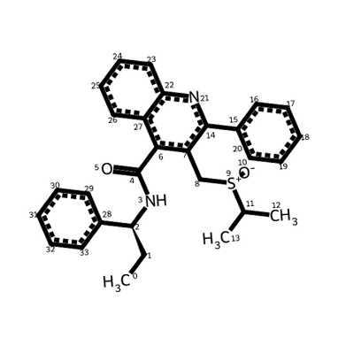 CC[C@H](NC(=O)c1c(C[S+]([O-])C(C)C)c(-c2ccccc2)nc2ccccc12)c1ccccc1